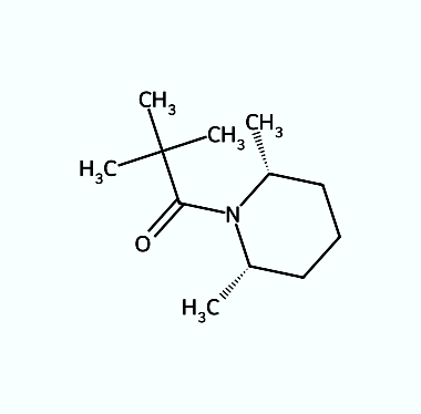 C[C@@H]1CCC[C@H](C)N1C(=O)C(C)(C)C